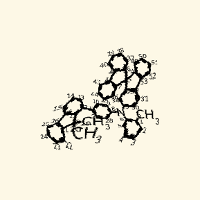 Cc1ccccc1N(c1ccc(-c2cccc3c2C(C)(C)c2ccccc2-3)cc1)c1ccc2c(c1)C1(c3ccccc3-c3ccccc31)c1ccccc1-2